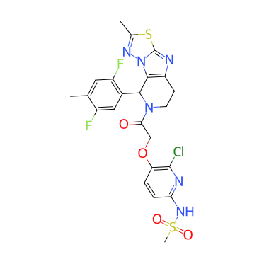 Cc1nn2c3c(nc2s1)CCN(C(=O)COc1ccc(NS(C)(=O)=O)nc1Cl)C3c1cc(F)c(C)cc1F